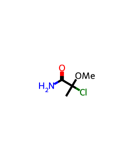 COC(C)(Cl)C(N)=O